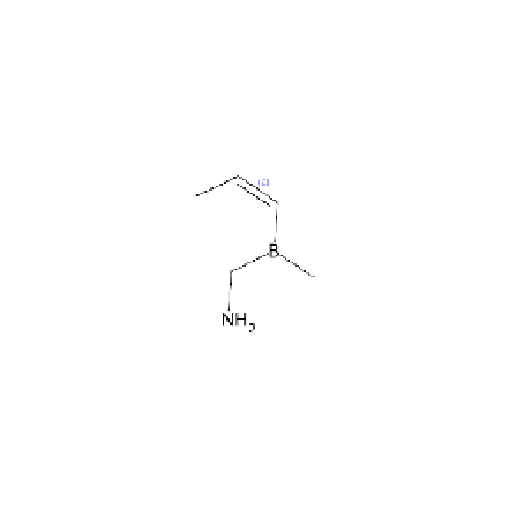 C/C=C\B(C)CN